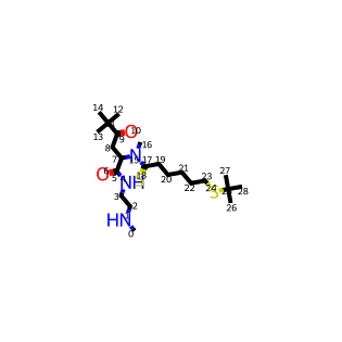 CNCCNC(=O)C(CC(=O)C(C)(C)C)N(C)C(=S)CCCCCSC(C)(C)C